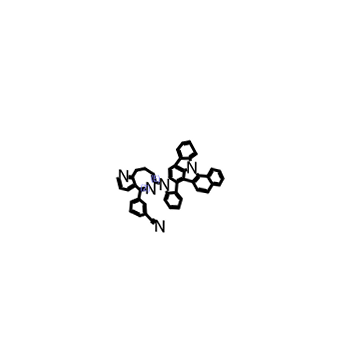 N#Cc1cccc(/C2=N/C(n3c4ccccc4c4c5c6ccc7ccccc7c6n6c7ccccc7c(cc43)c56)=C\CCc3ncccc32)c1